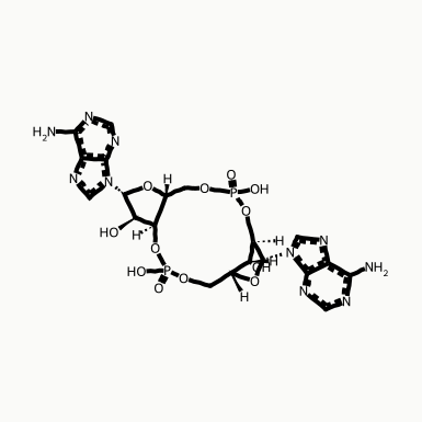 Nc1ncnc2c1ncn2[C@@H]1O[C@@H]2COP(=O)(O)O[C@@H]3[C@H](O)[C@@H](COP(=O)(O)O[C@H]2[C@H]1O)O[C@H]3n1cnc2c(N)ncnc21